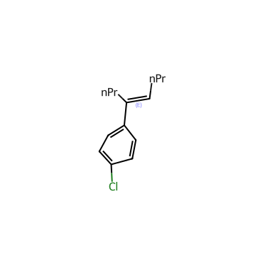 CCC/C=C(\CCC)c1ccc(Cl)cc1